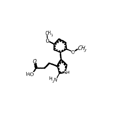 COc1ccc(OC)c(-c2c[nH]c(N)c2CCC(=O)O)c1